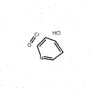 Cl.[O]=[Cr].c1ccncc1